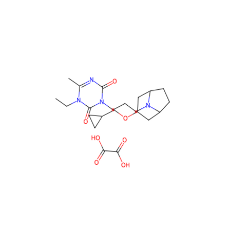 CCn1c(C)nc(=O)n(CCCN2C3CCC2CC(OCC2CC2)C3)c1=O.O=C(O)C(=O)O